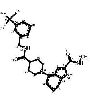 CNC(=O)c1cc2c(N3CCC(C(=O)NCc4cccc(C(F)(F)F)c4)CC3)cccc2[nH]1